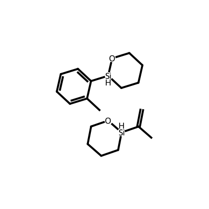 C=C(C)[SiH]1CCCCO1.Cc1ccccc1[SiH]1CCCCO1